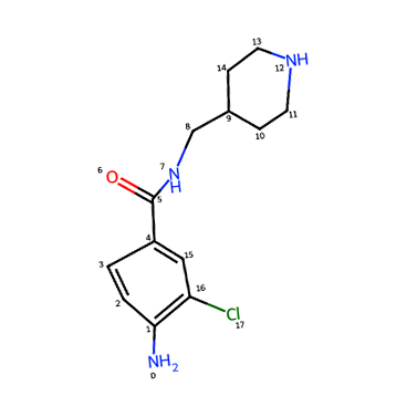 Nc1ccc(C(=O)NCC2CCNCC2)cc1Cl